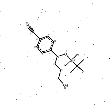 CC(C)(C)[Si](C)(C)OC(CCCO)c1ccc(C#N)cc1